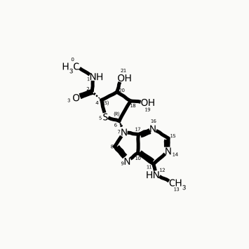 CNC(=O)[C@H]1S[C@@H](n2cnc3c(NC)ncnc32)C(O)C1O